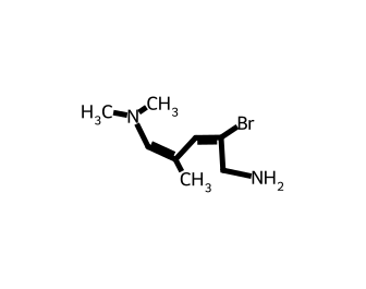 CC(=C/N(C)C)/C=C(/Br)CN